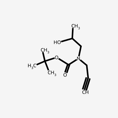 C#CCN(CC(C)O)C(=O)OC(C)(C)C